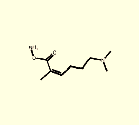 CC(=CCCCN(C)C)C(=O)ON